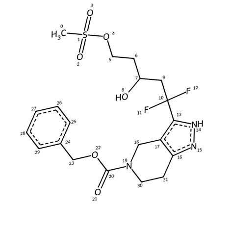 CS(=O)(=O)OCCC(O)CC(F)(F)c1[nH]nc2c1CN(C(=O)OCc1ccccc1)CC2